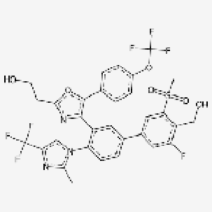 Cc1nc(C(F)(F)F)cn1-c1ccc(-c2cc(F)c(CO)c(S(C)(=O)=O)c2)cc1-c1nc(CCO)oc1-c1ccc(OC(F)(F)F)cc1